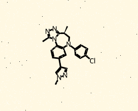 Cc1nnc2n1-c1ccc(-c3cnn(C)c3)cc1N(c1ccc(Cl)cc1)C[C@@H]2C